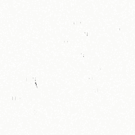 COc1cc(C[C@H](N)C(=O)O)ccc1-n1c(=O)c2ccncc2n(C)c1=O